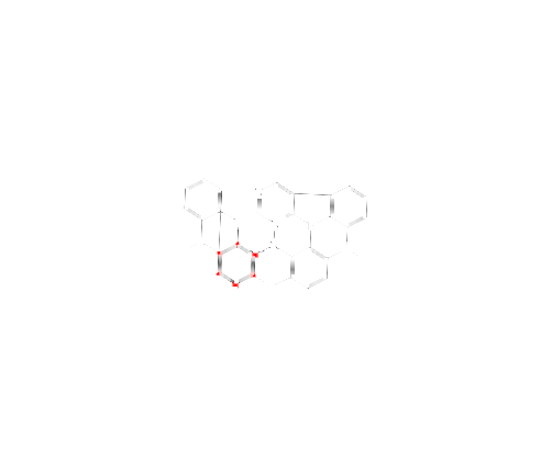 [O-][S+]1c2cccc3c2B2c4c1ccc1c4[N+]4(c5c(ccc6c5B5c7c(cccc7[S+]6[O-])-c6cnc[n+]4c65)O1)[n+]1cncc-3c12